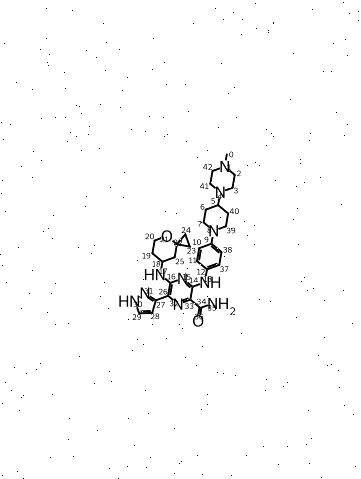 CN1CCN(C2CCN(c3ccc(Nc4nc(NC5CCOC6(CC6)C5)c(-c5cc[nH]n5)nc4C(N)=O)cc3)CC2)CC1